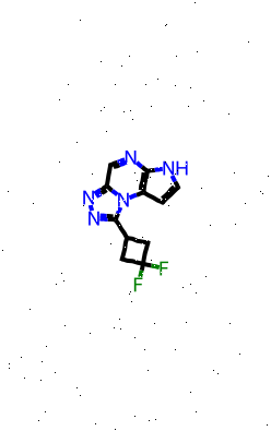 FC1(F)CC(c2nnc3cnc4[nH]ccc4n23)C1